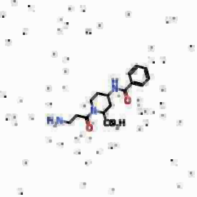 NCCC(=O)N1CCC(NC(=O)c2ccccc2)CC1C(=O)O